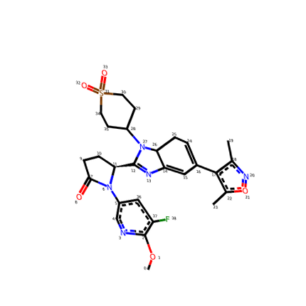 COc1ncc(N2C(=O)CC[C@H]2C2=NC3=CC(c4c(C)noc4C)=CCC3N2C2CCS(=O)(=O)CC2)cc1F